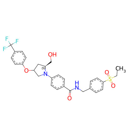 CCS(=O)(=O)c1ccc(CNC(=O)c2ccc(N3CC(Oc4ccc(C(F)(F)F)cc4)C[C@H]3CO)cc2)cc1